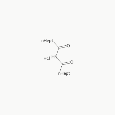 CCCCCCCC(=O)NC(=O)CCCCCCC.Cl